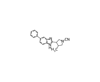 CC1CN(C#N)CC1c1nc2cc(-c3ccccc3)ccc2[nH]1